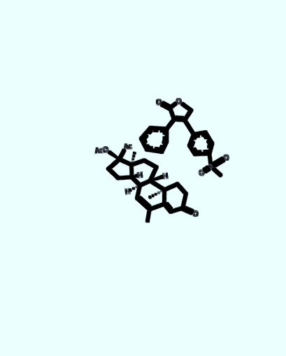 CC(=O)O[C@]1(C(C)=O)CC[C@H]2[C@@H]3C=C(C)C4=CC(=O)CC[C@]4(C)[C@H]3CC[C@@]21C.CS(=O)(=O)c1ccc(C2=C(c3ccccc3)C(=O)OC2)cc1